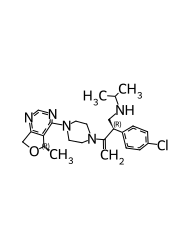 C=C([C@@H](CNC(C)C)c1ccc(Cl)cc1)N1CCN(c2ncnc3c2[C@@H](C)OC3)CC1